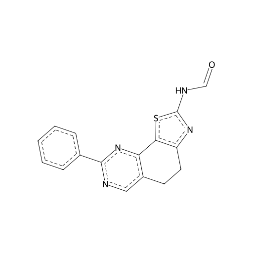 O=CNc1nc2c(s1)-c1nc(-c3ccccc3)ncc1CC2